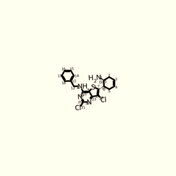 N[C@H]1CC=CC[C@@H]1c1sc2c(NCc3ccccc3)nc(Cl)nc2c1Cl